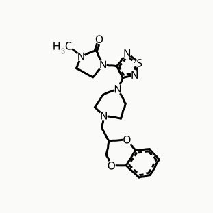 CN1CCN(c2nsnc2N2CCN(CC3COc4ccccc4O3)CC2)C1=O